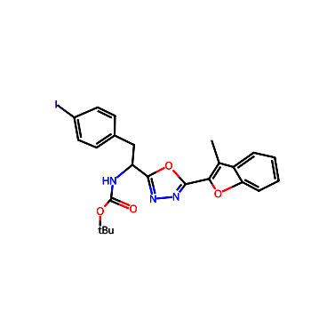 Cc1c(-c2nnc(C(Cc3ccc(I)cc3)NC(=O)OC(C)(C)C)o2)oc2ccccc12